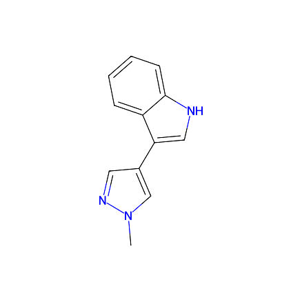 Cn1cc(-c2c[nH]c3ccccc23)cn1